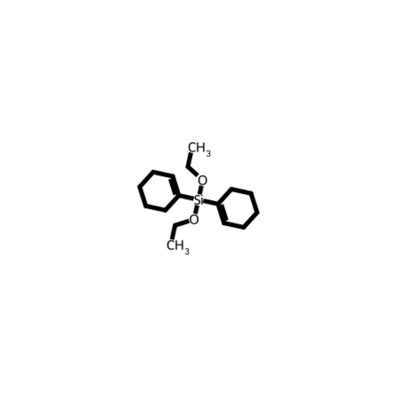 CCO[Si](OCC)(C1=CCCCC1)C1=CCCCC1